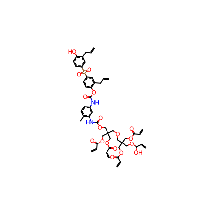 C=CCc1cc(S(=O)(=O)c2ccc(OC(=O)Nc3ccc(C)c(NC(=O)OCC(COCC(COC(=O)C=C)(COC(=O)C=C)COC(O)C=C)(COC(=O)C=C)COC(=O)C=C)c3)c(CC=C)c2)ccc1O